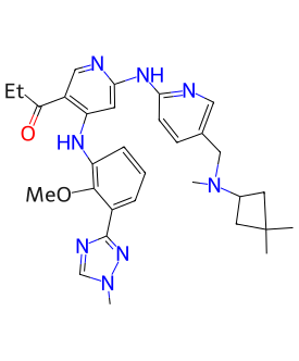 CCC(=O)c1cnc(Nc2ccc(CN(C)C3CC(C)(C)C3)cn2)cc1Nc1cccc(-c2ncn(C)n2)c1OC